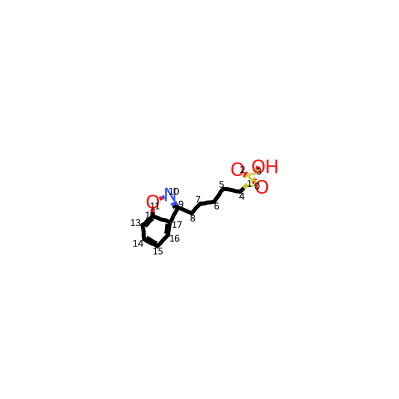 O=S(=O)(O)CCCCCc1noc2ccccc12